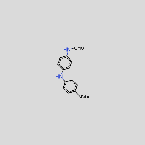 CNc1ccc(Nc2ccc(NC=O)cc2)cc1